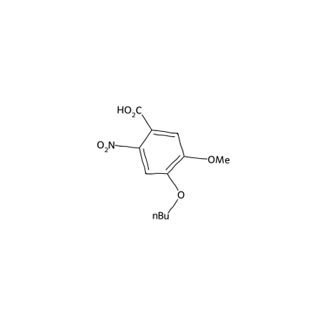 CCCCOc1cc([N+](=O)[O-])c(C(=O)O)cc1OC